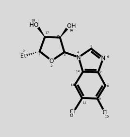 CC[C@H]1OC(n2cnc3cc(Cl)c(Cl)cc32)[C@H](O)[C@@H]1O